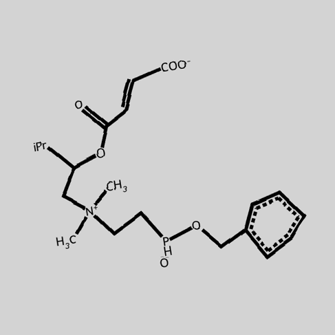 CC(C)C(C[N+](C)(C)CC[PH](=O)OCc1ccccc1)OC(=O)C=CC(=O)[O-]